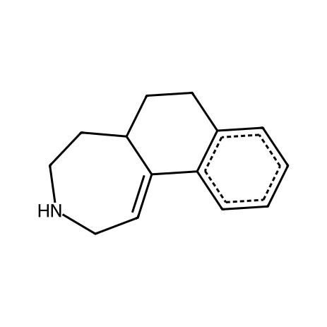 C1=C2c3ccccc3CCC2CCNC1